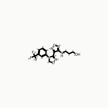 OCCCNc1nonc1C1=NOCN1c1cccc(C(F)(F)F)c1